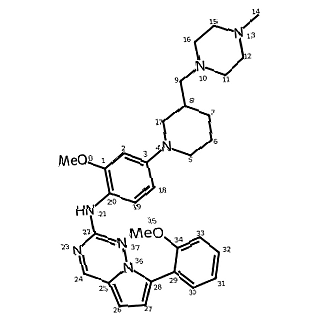 COc1cc(N2CCCC(CN3CCN(C)CC3)C2)ccc1Nc1ncc2ccc(-c3ccccc3OC)n2n1